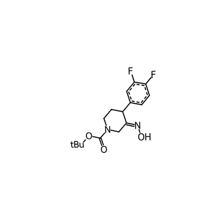 CC(C)(C)OC(=O)N1CCC(c2ccc(F)c(F)c2)/C(=N/O)C1